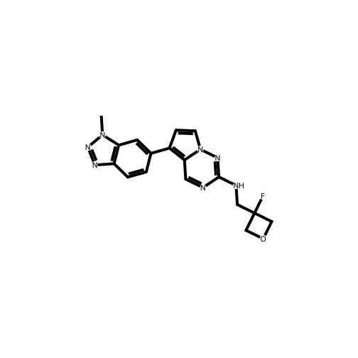 Cn1nnc2ccc(-c3ccn4nc(NCC5(F)COC5)ncc34)cc21